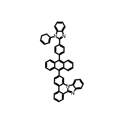 C1=CCCC(n2c(-c3ccc(-c4c5ccccc5c(-c5ccc6c7ccccc7c7nc8ccccc8n7c6c5)c5ccccc45)cc3)nc3ccccc32)=C1